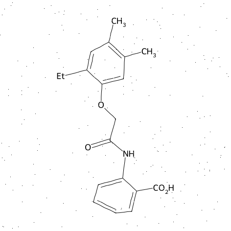 CCc1cc(C)c(C)cc1OCC(=O)Nc1ccccc1C(=O)O